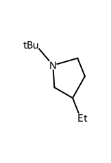 CCC1CCN(C(C)(C)C)C1